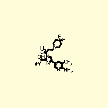 C=C(CCN1CCC(F)(F)CC1)n1cc(-c2cnc(N)c(C(F)(F)F)c2)nc1[C@@H](O)C(C)C